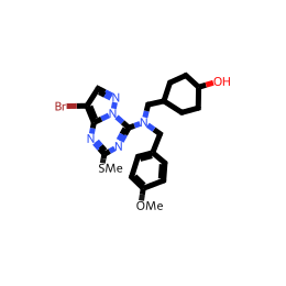 COc1ccc(CN(CC2CCC(O)CC2)c2nc(SC)nc3c(Br)cnn23)cc1